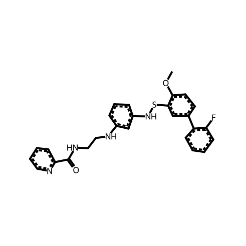 COc1ccc(-c2ccccc2F)cc1SNc1cccc(NCCNC(=O)c2ccccn2)c1